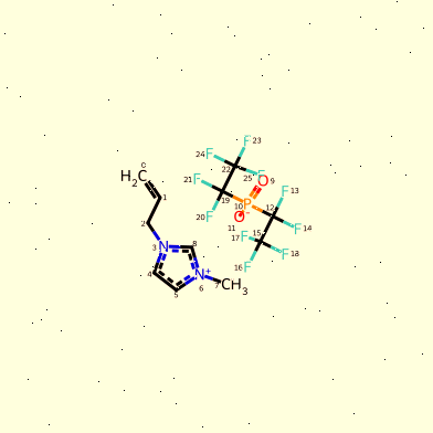 C=CCn1cc[n+](C)c1.O=P([O-])(C(F)(F)C(F)(F)F)C(F)(F)C(F)(F)F